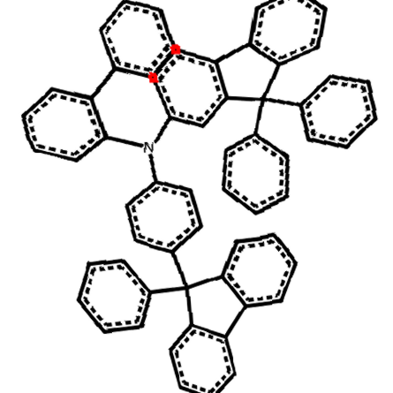 c1ccc(-c2ccccc2N(c2ccc(C3(c4ccccc4)c4ccccc4-c4ccccc43)cc2)c2ccc3c(c2)C(c2ccccc2)(c2ccccc2)c2ccccc2-3)cc1